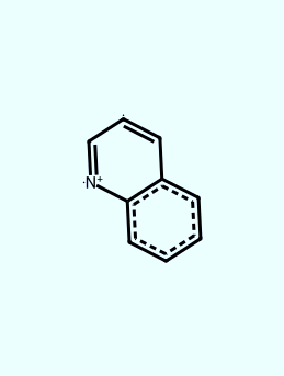 [C]1=Cc2ccccc2[N+]=C1